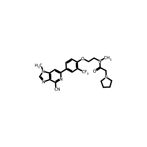 CN(CCOc1ccc(-c2cc3c(ncn3C)c(C#N)n2)cc1C(F)(F)F)C(=O)CN1CCCC1